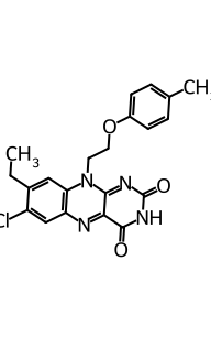 CCc1cc2c(cc1Cl)nc1c(=O)[nH]c(=O)nc-1n2CCOc1ccc(C)cc1